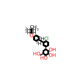 [2H]C([2H])(c1ccc(OC([2H])([2H])C([2H])([2H])C)cc1)c1cc([C@@H]2C[C@H](CO)[C@@H](O)[C@H](O)[C@H]2O)ccc1Cl